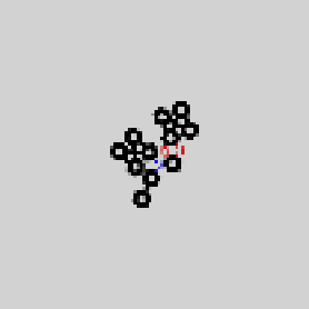 c1ccc(-c2ccc(N(c3ccc4c(c3)C3(c5ccccc5-c5ccccc53)c3ccccc3-4)c3cccc4c3Oc3cc5c(cc3O4)C3(c4ccccc4-c4ccccc43)c3ccccc3-5)cc2)cc1